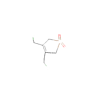 O=S1(=O)CC(CBr)=C(CBr)C1